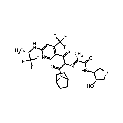 C/C(=N\C(C(=O)N1C2CCC1CC2)C(=S)c1cnc(N[C@@H](C)C(F)(F)F)cc1C(F)(F)F)C(=O)N[C@H]1COC[C@H]1O